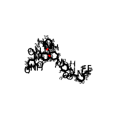 COc1cc2nn([C@H]3CC[C@H](CN4[C@@H]5CC[C@H]4CN(c4cccc6c4n(C)c(=O)n6C4CCC(=O)NC4=O)C5)CC3)cc2cc1NC(=O)c1cccc(C(F)(F)F)n1